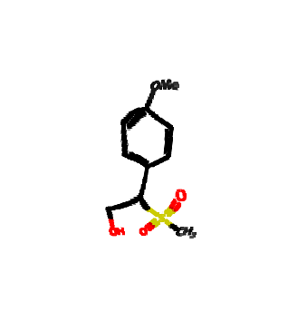 COc1ccc(C(CO)S(C)(=O)=O)cc1